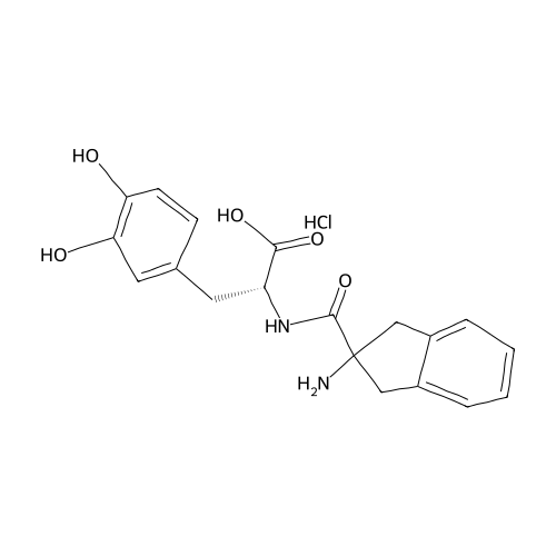 Cl.NC1(C(=O)N[C@H](Cc2ccc(O)c(O)c2)C(=O)O)Cc2ccccc2C1